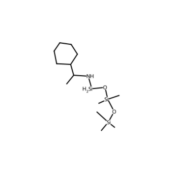 CC(N[SiH2]O[Si](C)(C)O[Si](C)(C)C)C1CCCCC1